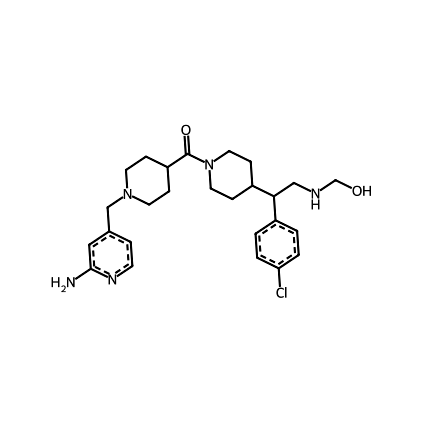 Nc1cc(CN2CCC(C(=O)N3CCC(C(CNCO)c4ccc(Cl)cc4)CC3)CC2)ccn1